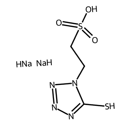 O=S(=O)(O)CCn1nnnc1S.[NaH].[NaH]